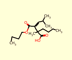 CCCCOC(=O)C(=CC(C)C)C(C)(CCCC)C(=O)O